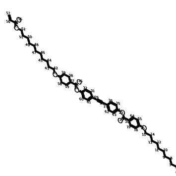 C=CC(=O)OCCCCCCCCCCCOc1ccc(C(=O)Oc2ccc(C#Cc3ccc(OC(=O)C4CCC(OCCCCCCCCCCCOC(=O)C=C)CC4)cc3)cc2)cc1